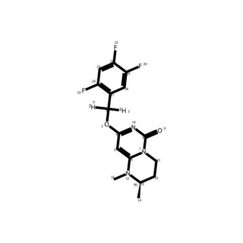 [2H]C([2H])(Oc1cc2n(c(=O)n1)CC[C@@H](C)N2C)c1cc(F)c(F)cc1F